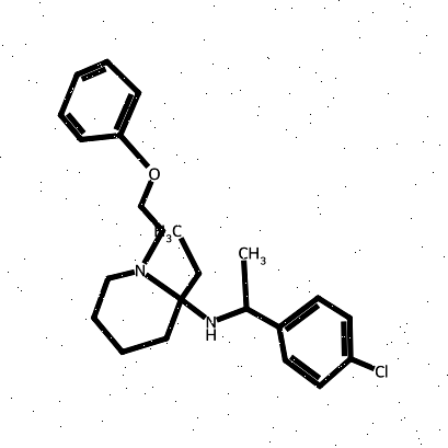 CCC1(NC(C)c2ccc(Cl)cc2)CCCCN1CCOc1ccccc1